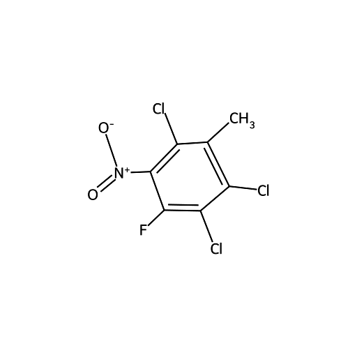 Cc1c(Cl)c(Cl)c(F)c([N+](=O)[O-])c1Cl